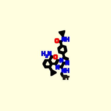 CC(C)CNc1nc(-c2c(C(N)=O)cccc2C2CC2)cn2c(-c3ccc(C(=O)NC4CC4)cc3)cnc12